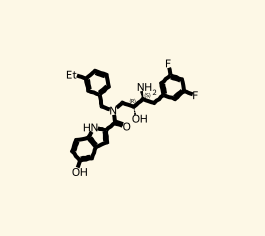 CCc1cccc(CN(C[C@@H](O)[C@@H](N)Cc2cc(F)cc(F)c2)C(=O)c2cc3cc(O)ccc3[nH]2)c1